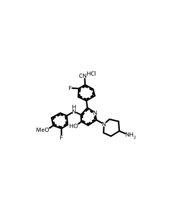 COc1ccc(Nc2c(O)cc(N3CCC(N)CC3)nc2-c2ccc(C#N)c(F)c2)cc1F.Cl